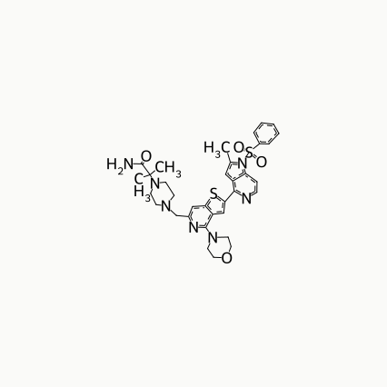 Cc1cc2c(-c3cc4c(N5CCOCC5)nc(CN5CCN(C(C)(C)C(N)=O)CC5)cc4s3)nccc2n1S(=O)(=O)c1ccccc1